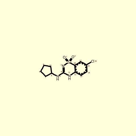 O=S1(=O)N=C(NC2CCCC2)Nc2ccc(Cl)cc21